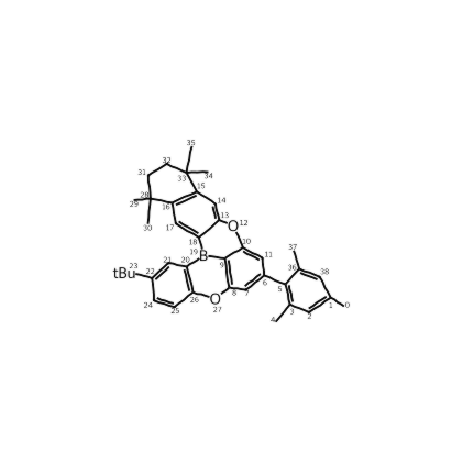 Cc1cc(C)c(-c2cc3c4c(c2)Oc2cc5c(cc2B4c2cc(C(C)(C)C)ccc2O3)C(C)(C)CCC5(C)C)c(C)c1